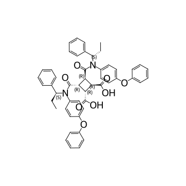 CC[C@@H](c1ccccc1)N(C(=O)[C@H]1[C@@H](C(=O)O)[C@H](C(=O)O)[C@@H]1C(=O)N(c1ccc(Oc2ccccc2)cc1)[C@@H](CC)c1ccccc1)c1ccc(Oc2ccccc2)cc1